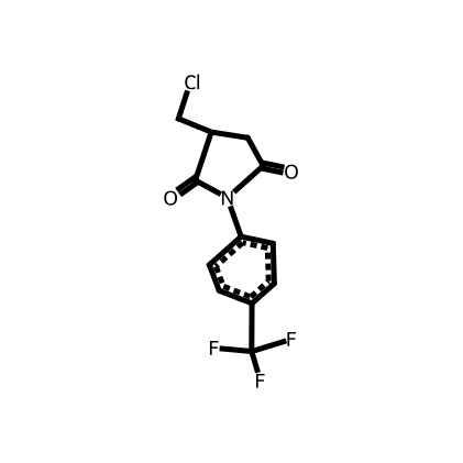 O=C1CC(CCl)C(=O)N1c1ccc(C(F)(F)F)cc1